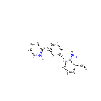 Bc1cccc(-c2cccc(-c3ccccn3)c2)c1N